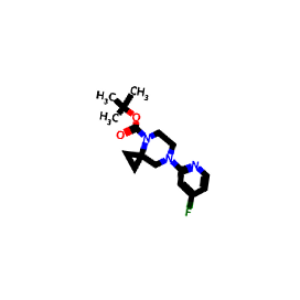 CC(C)(C)OC(=O)N1CCN(c2cc(F)ccn2)CC12CC2